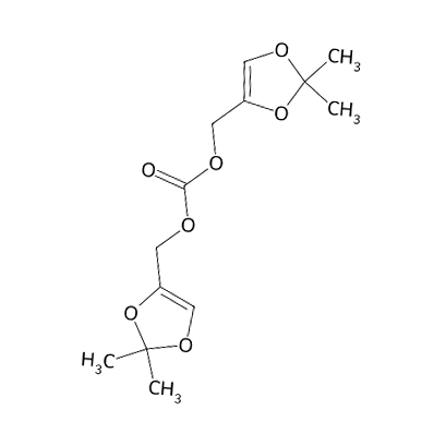 CC1(C)OC=C(COC(=O)OCC2=COC(C)(C)O2)O1